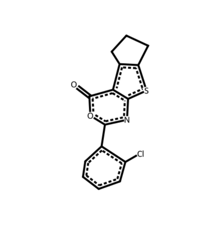 O=c1oc(-c2ccccc2Cl)nc2sc3c(c12)CCC3